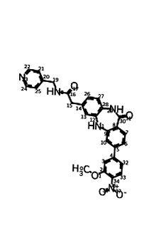 COc1cc(-c2ccc3c(c2)Nc2cc(CC(=O)NCc4ccncc4)ccc2NC3=O)ccc1[N+](=O)[O-]